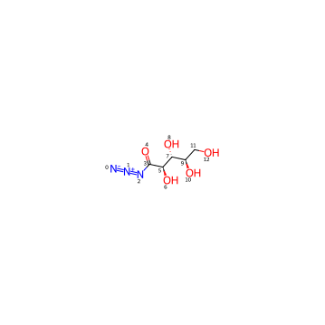 [N-]=[N+]=NC(=O)[C@H](O)[C@H](O)[C@H](O)CO